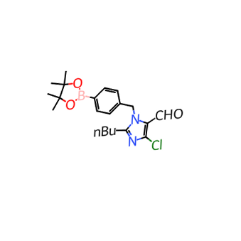 CCCCc1nc(Cl)c(C=O)n1Cc1ccc(B2OC(C)(C)C(C)(C)O2)cc1